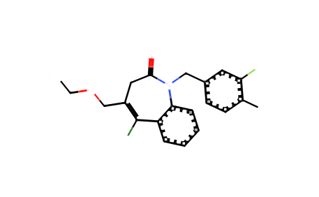 CCOCC1=C(Cl)c2ccccc2N(Cc2ccc(C)c(F)c2)C(=O)C1